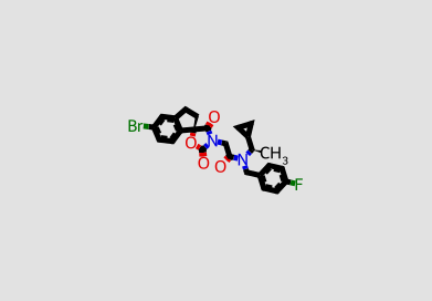 C[C@@H](C1CC1)N(Cc1ccc(F)cc1)C(=O)CN1C(=O)O[C@@]2(CCc3cc(Br)ccc32)C1=O